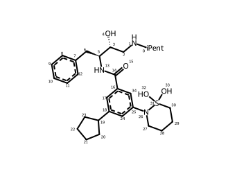 CCCC(C)NC[C@@H](O)[C@H](Cc1ccccc1)NC(=O)c1cc(C2CCCC2)cc(N2CCCCS2(O)O)c1